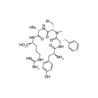 CCCC[C@H](NC(=O)[C@H](CC(C)C)N(C)C(=O)[C@H](Cc1ccccc1)NC(=O)[C@@H](N)Cc1ccc(O)cc1)C(=O)N[C@@H](CCCNC(=N)N)C(=O)O